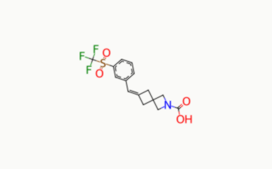 O=C(O)N1CC2(CC(=Cc3cccc(S(=O)(=O)C(F)(F)F)c3)C2)C1